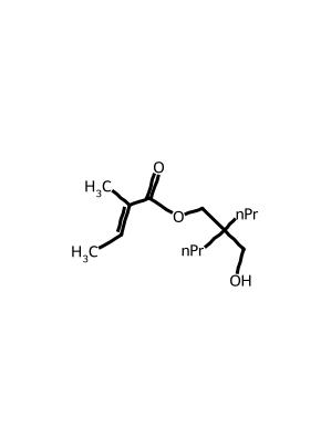 CC=C(C)C(=O)OCC(CO)(CCC)CCC